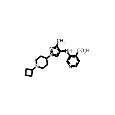 Cc1nn(C2CCN(C3CCC3)CC2)cc1Nc1cnccc1C(=O)O